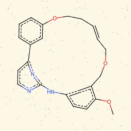 COc1ccc2cc1COC/C=C/CCOc1cccc(c1)-c1ccnc(n1)N2